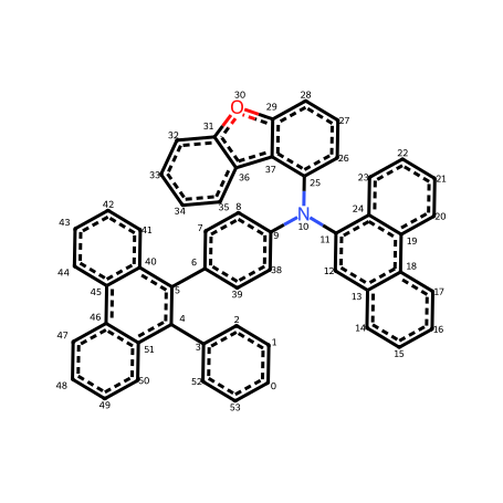 c1ccc(-c2c(-c3ccc(N(c4cc5ccccc5c5ccccc45)c4cccc5oc6ccccc6c45)cc3)c3ccccc3c3ccccc23)cc1